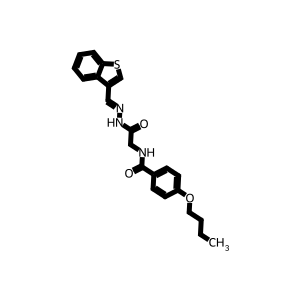 CCCCOc1ccc(C(=O)NCC(=O)N/N=C/c2csc3ccccc23)cc1